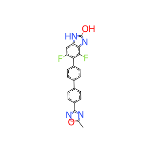 Cc1nc(-c2ccc(-c3ccc(-c4c(F)cc5[nH]c(O)nc5c4F)cc3)cc2)no1